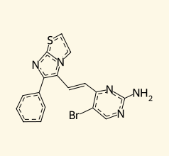 Nc1ncc(Br)c(C=Cc2c(-c3ccccc3)nc3sccn23)n1